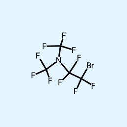 FC(F)(F)N(C(F)(F)F)C(F)(F)C(F)(F)Br